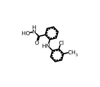 Cc1cccc(Nc2ccccc2C(=O)NO)c1Cl